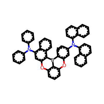 c1ccc(N(c2ccccc2)c2cc3c(c4ccccc24)B2c4c(cccc4Oc4cc(N(c5cccc6ccccc56)c5cccc6ccccc56)c5ccccc5c42)O3)cc1